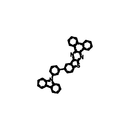 c1cc(-c2ccc3sc4nc5c6ccccc6c6ccccc6c5nc4c3c2)cc(-n2c3ccccc3c3ccccc32)c1